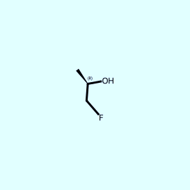 C[C@@H](O)CF